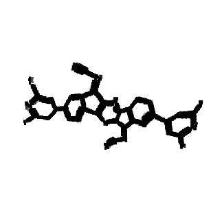 N#C/N=c1/c2cc(-c3cc(F)nc(F)c3)ccc2c2nc3/c(=N/C#N)c4cc(C5C=C(F)N=C(F)C5)ccc4c3nc12